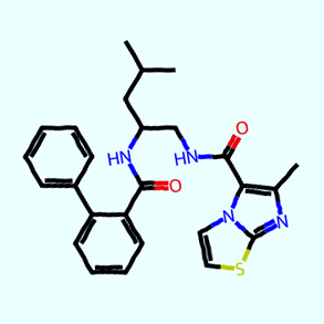 Cc1nc2sccn2c1C(=O)NCC(CC(C)C)NC(=O)c1ccccc1-c1ccccc1